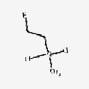 C[Si](Cl)(Cl)CCF